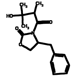 CC(C(=O)N1C(=O)OCC1Cc1ccccc1)C(C)(C)O